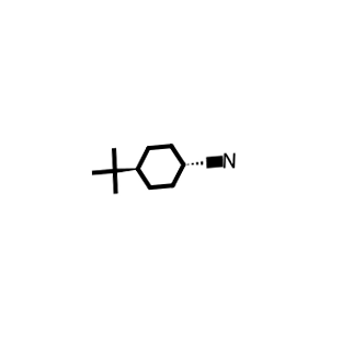 CC(C)(C)[C@H]1CC[C@H](C#N)CC1